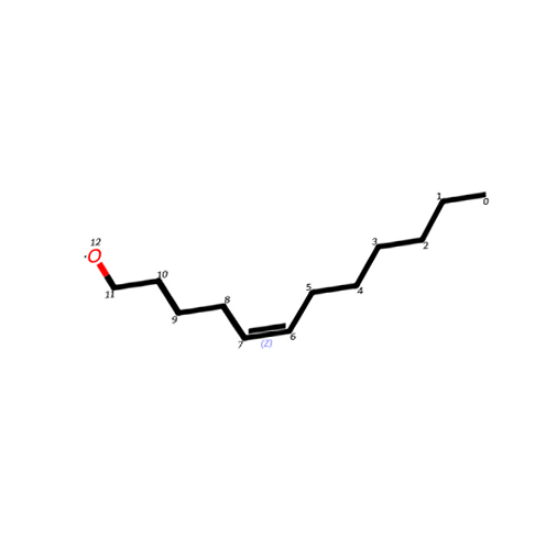 CCCCCC/C=C\CCCC[O]